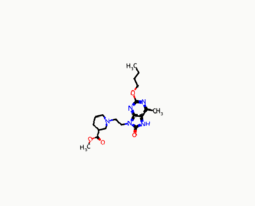 CCCCOc1nc(C)c2[nH]c(=O)n(CCN3CCCC(C(=O)OC)C3)c2n1